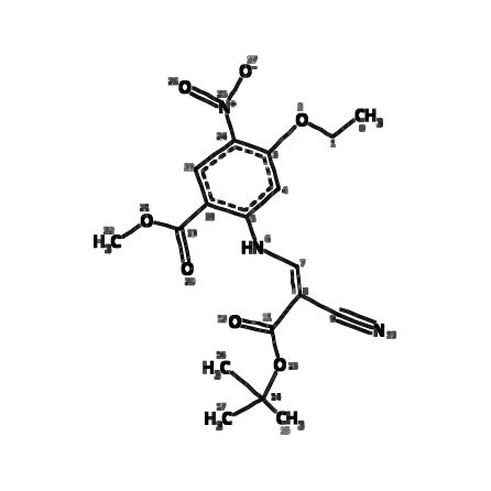 CCOc1cc(N/C=C(/C#N)C(=O)OC(C)(C)C)c(C(=O)OC)cc1[N+](=O)[O-]